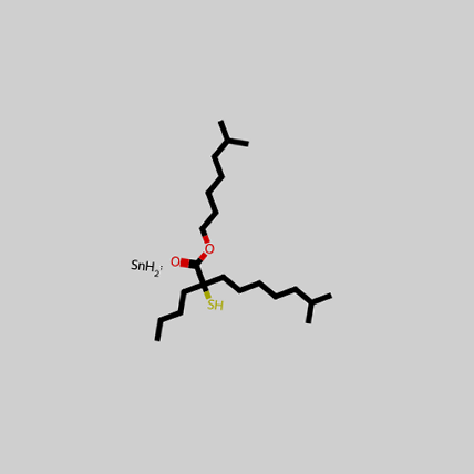 CCCCC(S)(CCCCCC(C)C)C(=O)OCCCCCC(C)C.[SnH2]